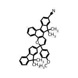 COc1ccc(C2(c3ccc4c(c3)C(C)(C)c3ccccc3-4)C=Cc3c4c(c5ccccc5c3O2)-c2ccc(C#N)cc2C4(C)C)cc1